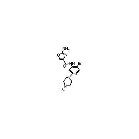 CN1CCN(c2ccc(Br)c(NC(=O)c3coc(N)n3)c2)CC1